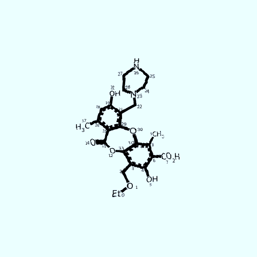 CCOCc1c(O)c(C(=O)O)c(C)c2c1OC(=O)c1c(C)cc(O)c(CN3CCNCC3)c1O2